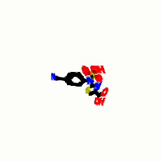 N#Cc1ccc(N(c2nc(C(=O)O)cs2)S(=O)(=O)O)cc1